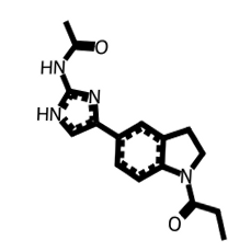 CCC(=O)N1CCc2cc(-c3c[nH]c(NC(C)=O)n3)ccc21